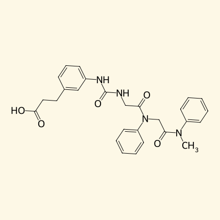 CN(C(=O)CN(C(=O)CNC(=O)Nc1cccc(CCC(=O)O)c1)c1ccccc1)c1ccccc1